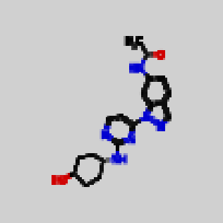 CC(=O)Nc1ccc2cnn(-c3ccnc(N[C@H]4CC[C@H](O)CC4)n3)c2c1